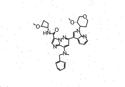 CO[C@@H]1COCC[C@H]1n1cc(-c2cc(N(C)Cc3ccccc3)c3ncc(C(=O)N[C@@H]4CC[C@H]4OC)n3n2)c2cccnc21